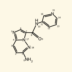 Nc1ccc2ncc(C(=O)Nc3cccnc3)n2n1